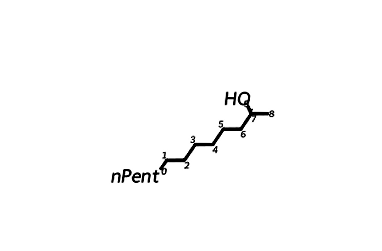 CCCCCCCCCCC[C](C)O